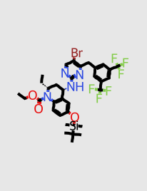 CCOC(=O)N1c2ccc(O[Si](C)(C)C(C)(C)C)cc2[C@@H](Nc2ncc(Br)c(Cc3cc(C(F)(F)F)cc(C(F)(F)F)c3)n2)C[C@H]1CC